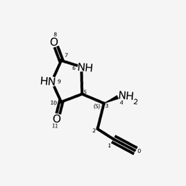 C#CC[C@H](N)C1NC(=O)NC1=O